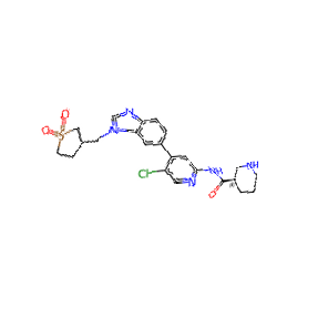 O=C(Nc1cc(-c2ccc3ncn(CC4CCS(=O)(=O)C4)c3c2)c(Cl)cn1)[C@@H]1CCCNC1